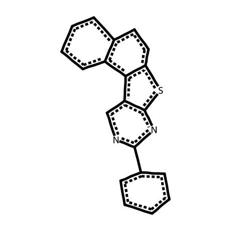 c1ccc(-c2ncc3c(n2)sc2ccc4ccccc4c23)cc1